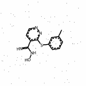 Cc1cccc(Sc2nnccc2C(=N)NO)c1